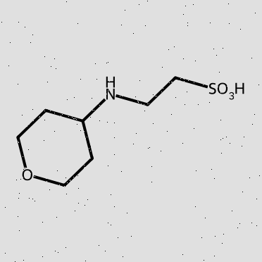 O=S(=O)(O)CCNC1CCOCC1